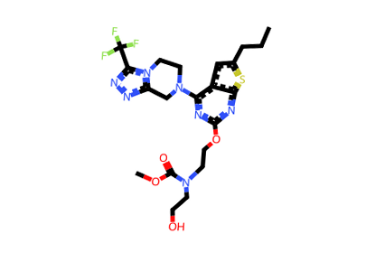 CCCc1cc2c(N3CCn4c(nnc4C(F)(F)F)C3)nc(OCCN(CCO)C(=O)OC)nc2s1